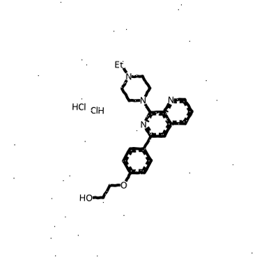 CCN1CCN(c2nc(-c3ccc(OCCO)cc3)cc3cccnc23)CC1.Cl.Cl